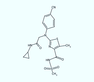 Cc1sc(N(CC(=O)NC2CC2)c2ccc(C#N)cc2)nc1C(=O)NS(C)(=O)=O